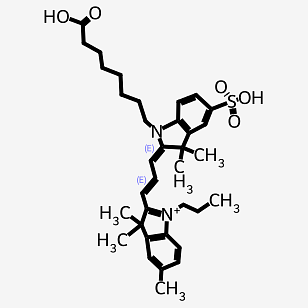 CCC[N+]1=C(/C=C/C=C2/N(CCCCCCCC(=O)O)c3ccc(S(=O)(=O)O)cc3C2(C)C)C(C)(C)c2cc(C)ccc21